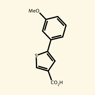 COc1cccc(-c2cc(C(=O)O)cs2)c1